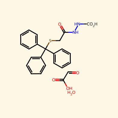 O.O=C(O)NNC(=O)CSC(c1ccccc1)(c1ccccc1)c1ccccc1.O=CC(=O)O